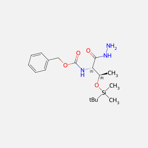 C[C@@H](O[Si](C)(C)C(C)(C)C)[C@H](NC(=O)OCc1ccccc1)C(=O)NN